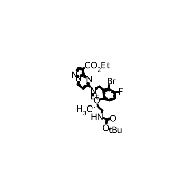 CCOC(=O)c1cnn2ccc(N(CC)Cc3c(O[C@@H](C)CNC(=O)OC(C)(C)C)ccc(F)c3Br)nc12